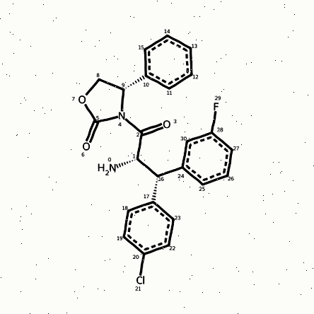 N[C@H](C(=O)N1C(=O)OC[C@@H]1c1ccccc1)[C@@H](c1ccc(Cl)cc1)c1cccc(F)c1